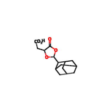 O=C(O)CC1OC(C2C3CC4CC(C3)CC2C4)OC1=O